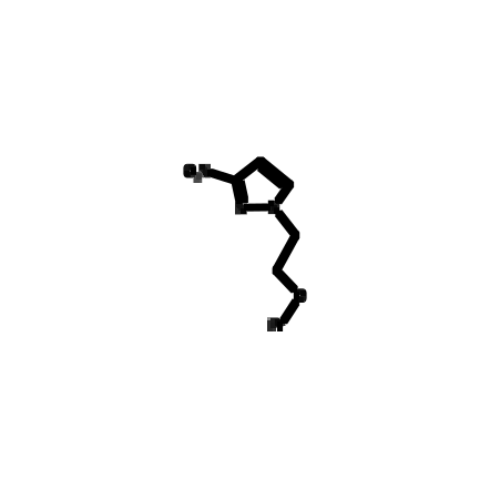 CC(C)OCCn1ccc([N+](=O)[O-])n1